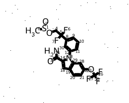 CS(=O)OCC(F)(F)c1cccc(-n2c(C(N)=O)cc3ccc(OC(F)(F)F)cc32)c1